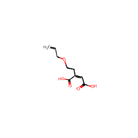 C=CCOCC/C(=C/C(=O)O)C(=O)O